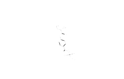 CCC(C)(CC)OC(=O)c1ccc(OC(=O)C(CC(C)(C)C)C(C)(C)C)cc1